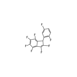 FC1=C(F)C(c2cc(F)ccc2F)c2c(F)c(F)c(F)c(F)c21